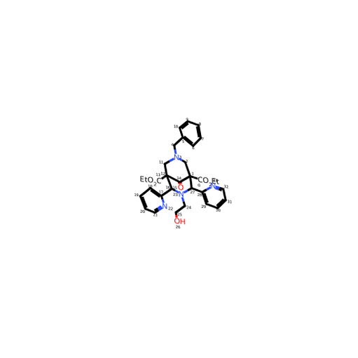 CCOC(=O)C12CN(Cc3ccccc3)CC(C(=O)OCC)(C1=O)C(c1ccccn1)N(CCO)C2c1ccccn1